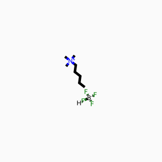 CCCCC[N+](C)(C)C.F[B-](F)(F)F.[H+]